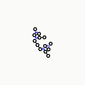 c1ccc(-c2ccc(N(c3cccc(-c4ccc(-c5cccc(N(c6ccc(-c7ccccc7)cc6)c6cccc7c6c6ccccc6n7-c6ccccc6)c5)cc4)c3)c3cccc4c3c3ccccc3n4-c3ccccc3)cc2)cc1